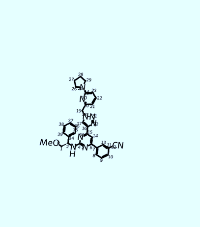 COC[C@H](Nc1nc(-c2cccc(C#N)c2)cc(-c2cn(Cc3cccc(N4CCCC4)n3)nn2)n1)c1ccccc1